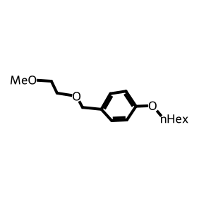 CCCCCCOc1ccc(COCCOC)cc1